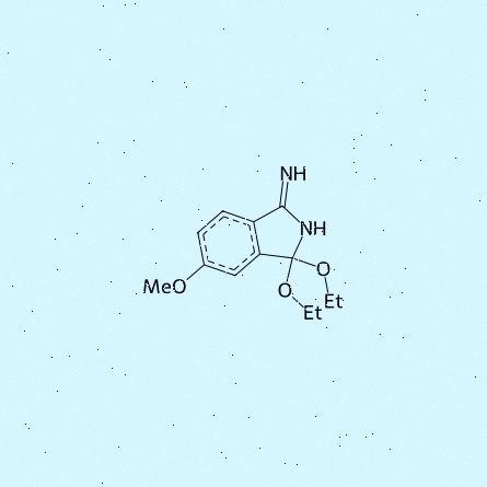 CCOC1(OCC)NC(=N)c2ccc(OC)cc21